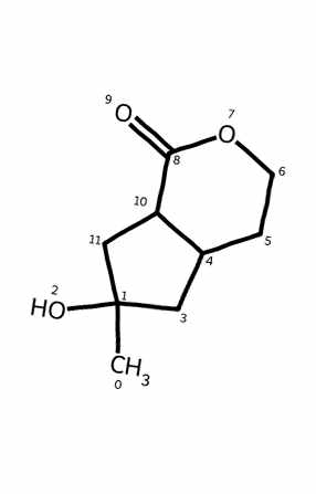 CC1(O)CC2CCOC(=O)C2C1